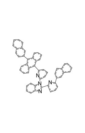 c1cc(-c2ccc3ccccc3c2)nc(-c2nc3ccccc3n2-c2cccc(-c3c4ccccc4c(-c4ccc5ccccc5c4)c4ccccc34)n2)c1